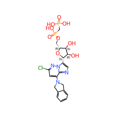 O=P(O)(O)CP(=O)(O)OC[C@H]1O[C@@H](c2cnc3c(N4Cc5ccccc5C4)cc(Cl)nn23)[C@H](O)[C@@H]1O